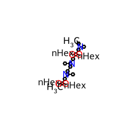 CCCCCCOc1cc(-c2ccc(-c3cc(-c4ccccc4)c4cc(-c5ccc6nc(-c7ccc(-c8cc(OCCCCCC)c(-c9ccc(N(c%10ccccc%10)c%10ccc(C)cc%10)cc9)cc8OCCCCCC)cc7)cc(-c7ccccc7)c6c5)ccc4n3)cc2)c(OCCCCCC)cc1C